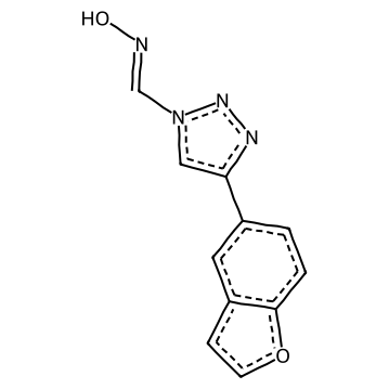 ON=Cn1cc(-c2ccc3occc3c2)nn1